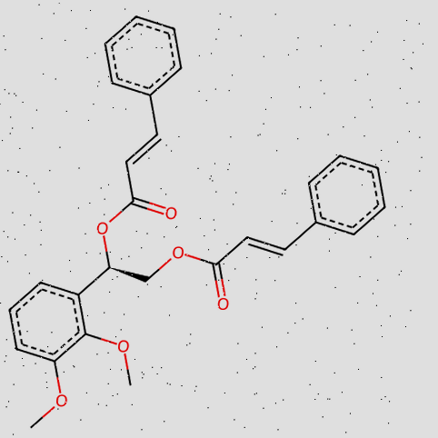 COc1cccc([C@H](COC(=O)/C=C/c2ccccc2)OC(=O)/C=C/c2ccccc2)c1OC